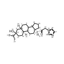 C[C@]12CCC3C(CC[C@H]4C[C@@](O)(C(F)F)CC[C@H]34)C1CC[C@@H]2C(=O)Cn1ccnn1